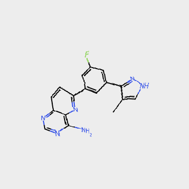 Cc1c[nH]nc1-c1cc(F)cc(-c2ccc3ncnc(N)c3n2)c1